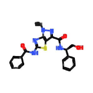 CC(C)(C)n1nc(C(=O)N[C@@H](CO)c2ccccc2)c2sc(NC(=O)c3ccccc3)nc21